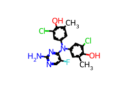 Cc1cc(N(c2cc(C)c(O)c(Cl)c2)c2nc(N)ncc2F)cc(Cl)c1O